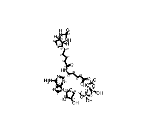 Nc1ncnc2c1ncn2[C@@H]1O[C@H](COP(=O)(O)OP(=O)(O)OP(=O)(O)OC(=O)CCCCNC(=O)CCCC[C@@H]2SC[C@@H]3NC(=O)N[C@@H]32)C(O)[C@@H]1O